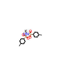 Cc1ccc(S(=O)(=O)NS(=O)(=O)c2ccc(C)cc2)cc1.[K]